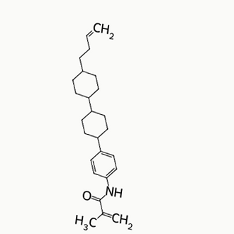 C=CCCC1CCC(C2CCC(c3ccc(NC(=O)C(=C)C)cc3)CC2)CC1